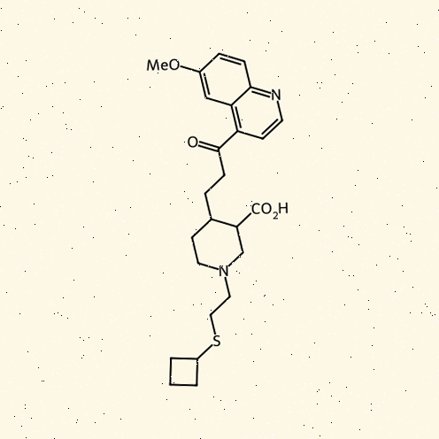 COc1ccc2nccc(C(=O)CCC3CCN(CCSC4CCC4)CC3C(=O)O)c2c1